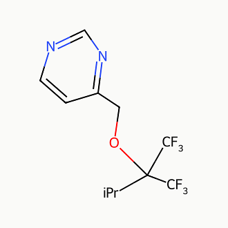 CC(C)C(OCc1ccncn1)(C(F)(F)F)C(F)(F)F